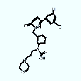 O=C(O)N(CCCN1CCOCC1)c1cccc(Cn2nc(-c3cc(Cl)cc(Cl)c3)ccc2=O)c1